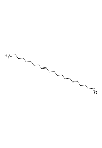 CCCCCCCCC=CCCCCCCC=CCCC[C]=O